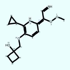 COO/C(C=N)=C1\C=CC(OCC2(O)CCC2)=C(C2CC2)N1